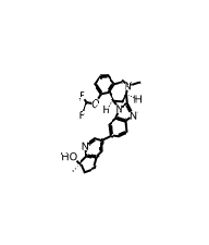 CN1Cc2cccc(OC(F)F)c2[C@H]2C[C@@H]1c1nc3ccc(-c4cnc5c(c4)CC[C@@]5(C)O)cc3n12